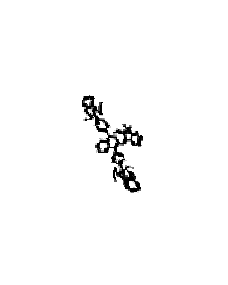 C/C=C1\C(=C/c2cc(-c3ccc(-c4nc5ccccc5s4)cc3)c3ccccc3c2-c2ccc(-c3nc4ccccc4s3)cc2)c2ccccc2C1(C)C